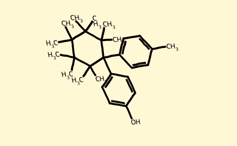 Cc1ccc(C2(c3ccc(O)cc3)C(C)(C)C(C)(C)C(C)(C)C(C)(C)C2(C)C)cc1